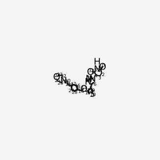 O=C1CCC(n2cc(-c3cscc3OCc3ccc(CCN4CCOCC4)cc3)nn2)C(=O)N1